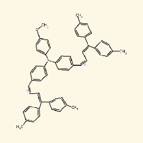 COc1ccc(N(c2ccc(/C=C\C=C(c3ccc(C)cc3)c3ccc(C)cc3)cc2)c2ccc(/C=C\C=C(c3ccc(C)cc3)c3ccc(C)cc3)cc2)cc1